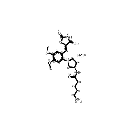 COc1cc(/C=C2\SC(=O)NC2=O)c(N2CC[C@@H](NC(=O)CCCCN)C2)cc1OC.Cl